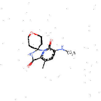 Cc1cc(NC(=O)O)c(=O)n2c1C(=O)NC21CCOCC1